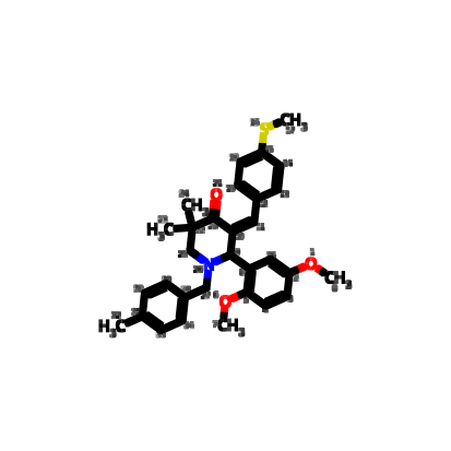 COc1ccc(OC)c(C2C(=Cc3ccc(SC)cc3)C(=O)C(C)(C)CN2Cc2ccc(C)cc2)c1